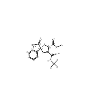 COC(=O)[C@H]1C[C@@]2(CN1C(=O)OC(C)(C)C)C(=O)Nc1ccccc12